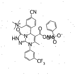 COC(=O)C1=C(C)N(c2cccc(C(F)(F)F)c2)c2n[nH]c(=O)n2C1c1ccc(C#N)cc1C[N+](C)(C)C.O=S(=O)([O-])c1ccccc1